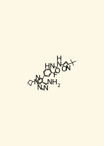 CC(C)(C)c1cc(NC(=O)Nc2ccc(-c3nn(C4CCC4)c4ncnc(N)c34)cc2F)on1